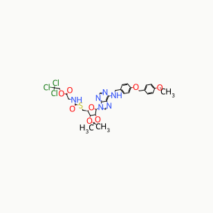 COc1ccc(COc2ccc(CNc3ncnc4c3ncn4[C@@H]3O[C@H](CSC(=O)NCC(=O)OCC(Cl)(Cl)Cl)C4OC(C)(C)OC43)cc2)cc1